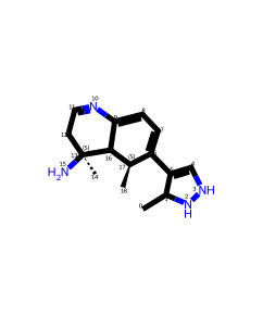 CC1NNC=C1C1=CC=C2N=CC[C@](C)(N)C2[C@@H]1C